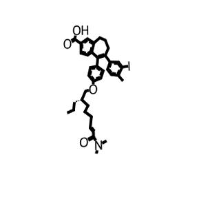 CCC[C@@H](CCC/C=C/C(=O)N(C)C)COc1ccc(C2=C(c3ccc(C)c(I)c3)CCCc3cc(C(=O)O)ccc32)cc1